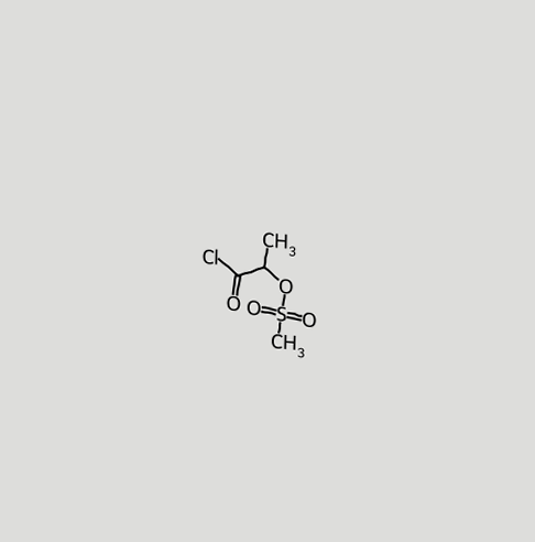 CC(OS(C)(=O)=O)C(=O)Cl